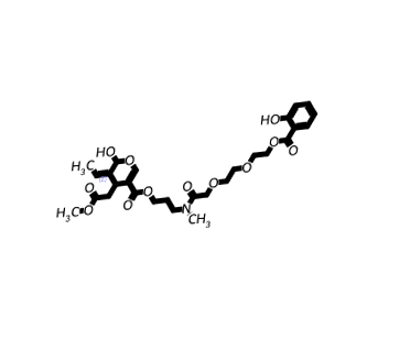 C/C=C1\C(O)OC=C(C(=O)OCCCN(C)C(=O)COCCOCCOC(=O)c2ccccc2O)C1CC(=O)OC